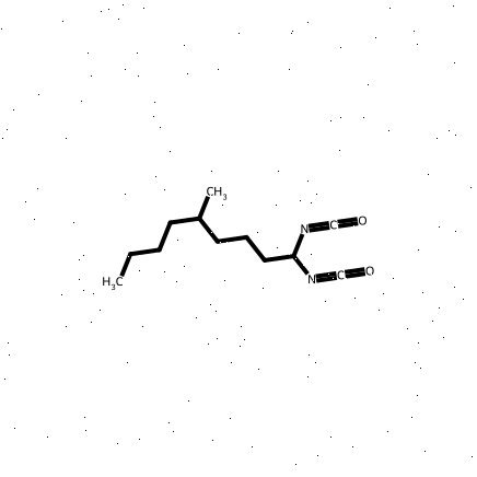 CCCCC(C)CCCC(N=C=O)N=C=O